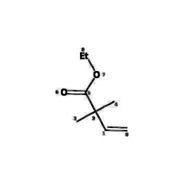 C=CC(C)(C)C(=O)OCC